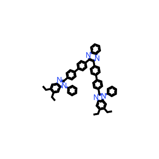 CCc1cc2nc(-c3ccc(-c4ccc(-c5nc6ccccc6nc5-c5ccc(-c6ccc(-c7nc8cc(CC)c(CC)cc8n7-c7ccccc7)cc6)cc5)cc4)cc3)n(-c3ccccc3)c2cc1CC